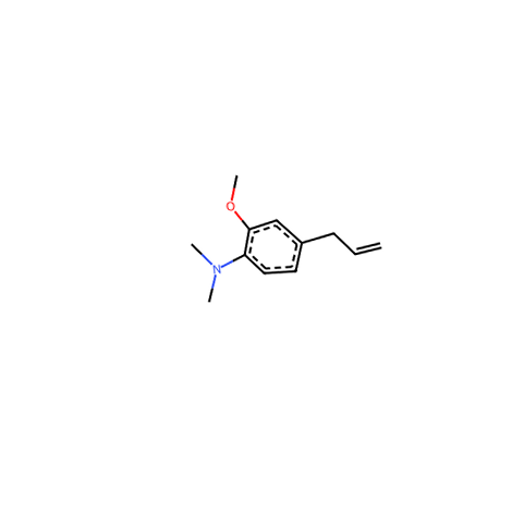 C=CCc1ccc(N(C)C)c(OC)c1